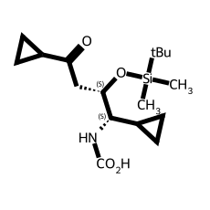 CC(C)(C)[Si](C)(C)O[C@@H](CC(=O)C1CC1)[C@@H](NC(=O)O)C1CC1